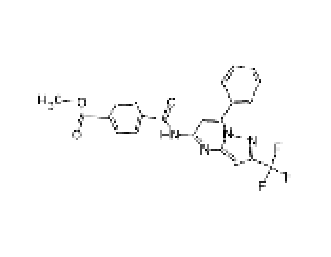 COC(=O)c1ccc(C(=O)Nc2cc(-c3ccccc3)n3nc(C(F)(F)F)cc3n2)cc1